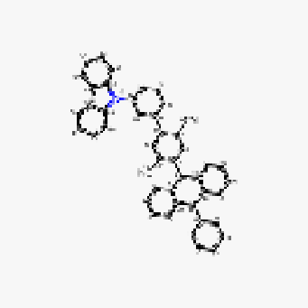 N#Cc1cc(-c2c3ccccc3c(-c3ccccc3)c3ccccc23)c(C#N)cc1-c1cccc(-n2c3ccccc3c3ccccc32)c1